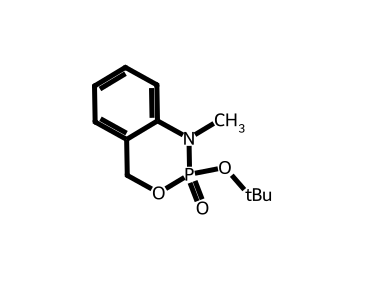 CN1c2ccccc2COP1(=O)OC(C)(C)C